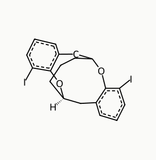 Ic1cccc2c1OC1CCC[C@H](C2)Oc2c(I)cccc2C1